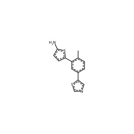 Cc1ccc(-c2cncs2)cc1-c1ccc(N)s1